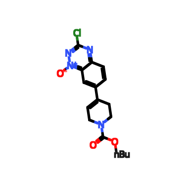 CCCCOC(=O)N1CC=C(c2ccc3nc(Cl)n[n+]([O-])c3c2)CC1